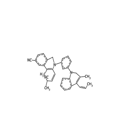 C/C=C\C1=C(C)CN(c2cccc(N3Cc4ccc(C#N)cc4C(C)=C3/C=C\C(C)C#N)c2)c2ccccc21